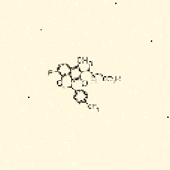 O=C(O)CNC(=O)c1c(O)c2ccc(F)c3c2n(c1=O)C(c1ccc(C(F)(F)F)cc1)CO3